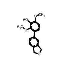 COc1ccc(-c2ccc3c(c2)COC3)c(OC)c1O